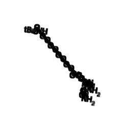 CC(C)(C)OC(=O)NCCOCCOCCOCCOCCOCCOCCOCCOCCC(=O)N1CCc2cc(Cn3nc(-c4ccc5oc(N)nc5c4)c4c(N)ncnc43)ccc2C1